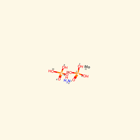 N.O=P(O)(O)O.O=P(O)(O)O.[Mo]